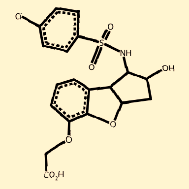 O=C(O)COc1cccc2c1OC1CC(O)C(NS(=O)(=O)c3ccc(Cl)cc3)C21